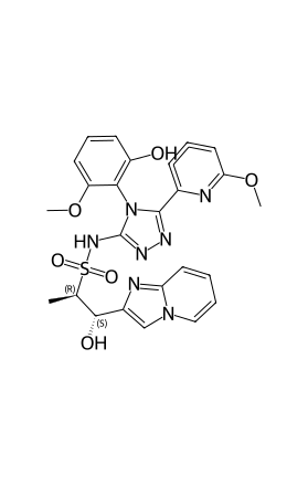 COC1=NC(c2nnc(NS(=O)(=O)[C@H](C)[C@@H](O)c3cn4ccccc4n3)n2-c2c(O)cccc2OC)=C=C=C1